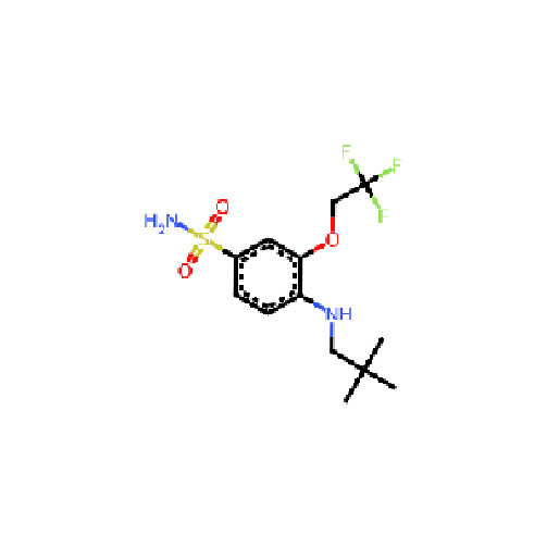 CC(C)(C)CNc1ccc(S(N)(=O)=O)cc1OCC(F)(F)F